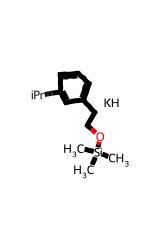 CC(C)c1cccc(CCO[Si](C)(C)C)c1.[KH]